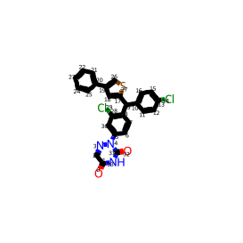 O=c1cnn(-c2ccc(C(c3ccc(Cl)cc3)c3cc(-c4ccccc4)cs3)c(Cl)c2)c(=O)[nH]1